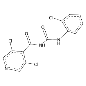 O=C(NC(=O)c1c(Cl)cncc1Cl)Nc1ccccc1Cl